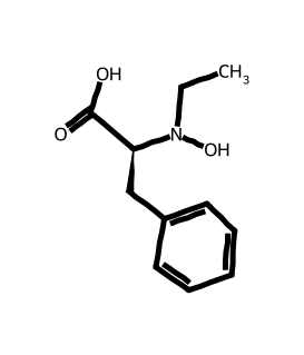 CCN(O)[C@@H](Cc1ccccc1)C(=O)O